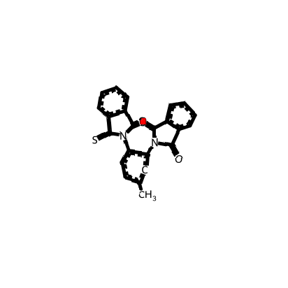 Cc1ccc(N2C(=O)c3ccccc3C2=S)c(N2C(=O)c3ccccc3C2=S)c1